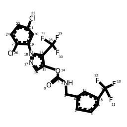 O=C(NCc1cccc(C(F)(F)F)c1)Oc1cnn(-c2cc(Cl)ccc2Cl)c1C(F)(F)F